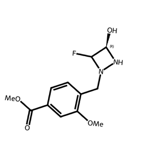 COC(=O)c1ccc(CN2N[C@H](O)C2F)c(OC)c1